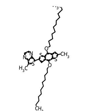 CCCCCCCCCCCCOc1c2cc(-c3sc(C)c4nccnc34)sc2c(OCCCCCCCCCCCC)c2cc(C)sc12